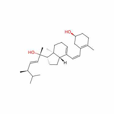 CC1=C(/C=C\C2=CCC[C@@]3(C)[C@H]2CC[C@@H]3[C@@](C)(O)/C=C/[C@H](C)C(C)C)C[C@@H](O)CC1